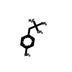 CC(C)(N)Cc1ccc(N)cc1